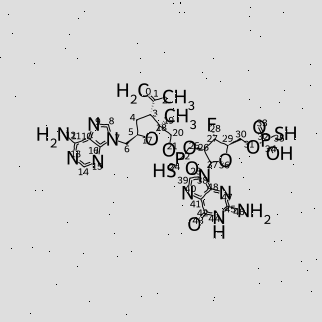 C=C(C)[C@H]1C[C@H](Cn2cnc3c(N)ncnc32)O[C@]1(C)COP(=O)(S)O[C@H]1[C@H](F)[C@@H](COP(=O)(O)S)O[C@H]1n1cnc2c(=O)[nH]c(N)nc21